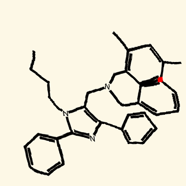 CCCCn1c(-c2ccccc2)nc(-c2ccccc2)c1CN(Cc1ccccc1)Cc1ccc(C)cc1C